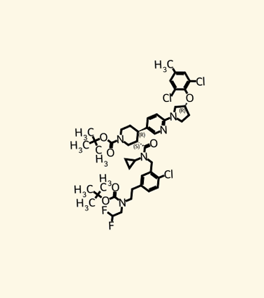 Cc1cc(Cl)c(O[C@@H]2CCN(c3ccc([C@@H]4CCN(C(=O)OC(C)(C)C)C[C@H]4C(=O)N(Cc4cc(CCN(CC(F)F)C(=O)OC(C)(C)C)ccc4Cl)C4CC4)cn3)C2)c(Cl)c1